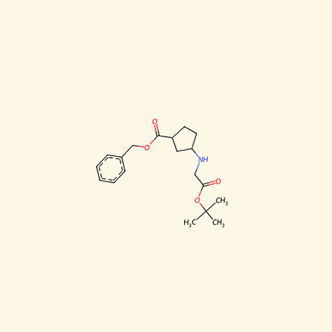 CC(C)(C)OC(=O)CNC1CCC(C(=O)OCc2ccccc2)C1